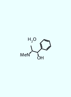 CN[C@@H](C)[C@H](O)c1ccccc1.O